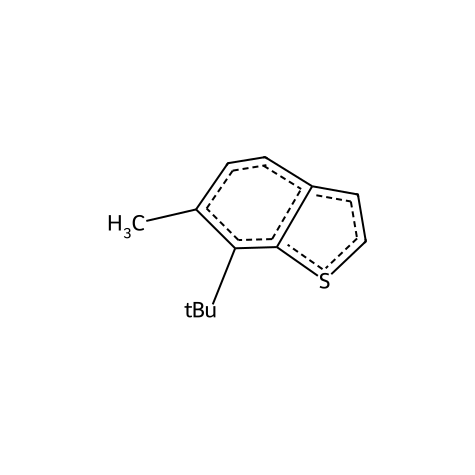 Cc1ccc2ccsc2c1C(C)(C)C